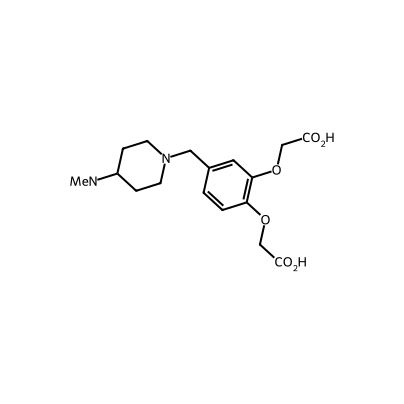 CNC1CCN(Cc2ccc(OCC(=O)O)c(OCC(=O)O)c2)CC1